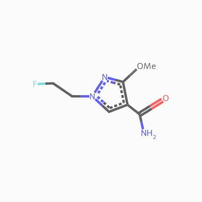 COc1nn(CCF)cc1C(N)=O